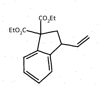 C=CC1CC(C(=O)OCC)(C(=O)OCC)c2ccccc21